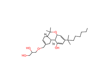 CCCCCCC(C)(C)C1=CC2OC(C)(C)[C@H]3CC=C(COCC(O)CO)C[C@@H]3C2C(O)=C1